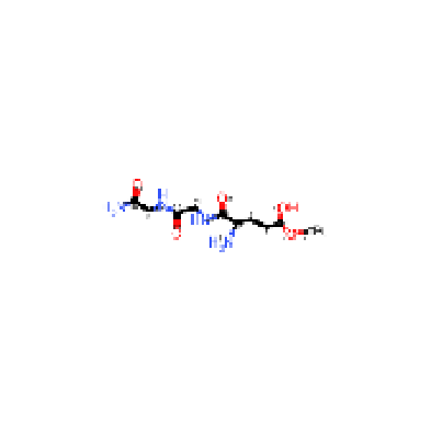 CC(C)(C)OC(O)CCC(N)C(=O)NCC(=O)NCC(N)=O